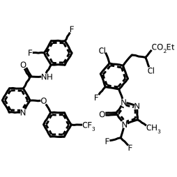 CCOC(=O)C(Cl)Cc1cc(-n2nc(C)n(C(F)F)c2=O)c(F)cc1Cl.O=C(Nc1ccc(F)cc1F)c1cccnc1Oc1cccc(C(F)(F)F)c1